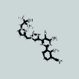 C#Cc1cccc(-c2nc(N)c(Cl)c(-c3cn(Cc4ccn(CC(C)(C)O)n4)nn3)n2)c1C